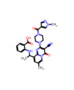 Cc1cc(C(C)Nc2ccccc2C(=O)O)c2nc(N3CCN(C(=O)c4cnn(C)c4)CC3)c(C#N)c(=O)n2c1